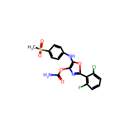 CS(=O)(=O)c1ccc(Nc2oc(-c3c(F)cccc3Cl)nc2OC(N)=O)cc1